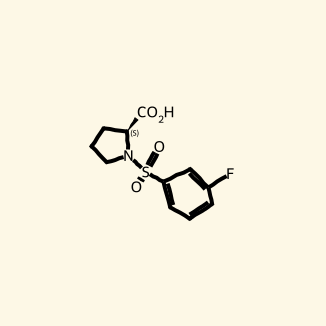 O=C(O)[C@@H]1CCCN1S(=O)(=O)c1cccc(F)c1